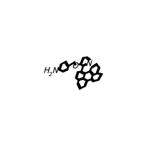 Nc1ccc(COc2cccnc2-c2ccc3cccc4c5cccc6cccc(c2c34)c65)cc1